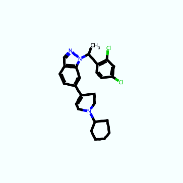 CC(c1ccc(Cl)cc1Cl)n1ncc2ccc(C3=CCN(C4CCCCC4)CC3)cc21